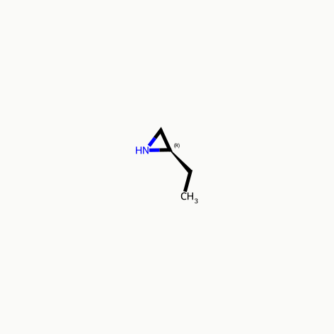 CC[C@@H]1CN1